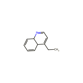 CCC1=CC=NC2C=CC=CC12